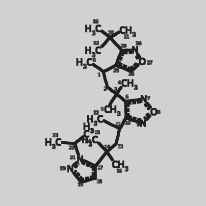 CC(CC(C)(C)c1nonc1C(C)CC(C)(C)c1ccnn1C(C)C)c1conc1C(C)(C)C